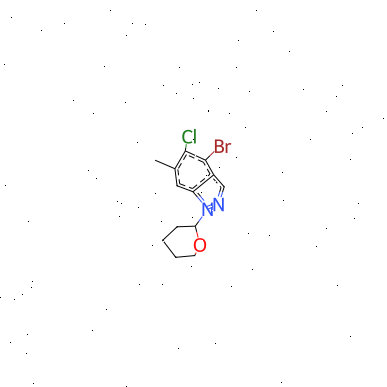 Cc1cc2c(cnn2C2CCCCO2)c(Br)c1Cl